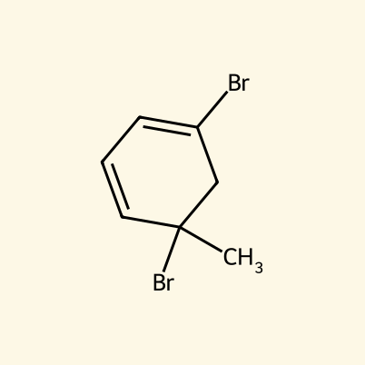 CC1(Br)C=CC=C(Br)C1